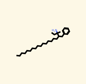 CCCCCCCCCCCCCCCCC(Cc1ccccc1)C(C)(N)CC